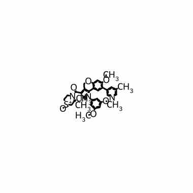 COc1cc(OC)cc(-n2nc(C(=O)N3CC[S+]([O-])CC3(C)C)c3c2-c2cc(-c4cncc(C)c4)c(OC)cc2OC3)c1